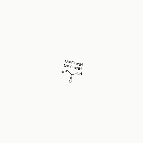 C=CC(=O)O.N=C=O.N=C=O